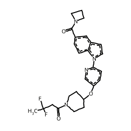 CC(F)(F)CC(=O)N1CCC(Oc2ccc(-n3ccc4cc(C(=O)N5CCC5)ccc43)nc2)CC1